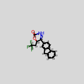 O=C1NN=C(c2ccc3c(c2)Cc2ccccc2-3)C(CC(F)(F)F)O1